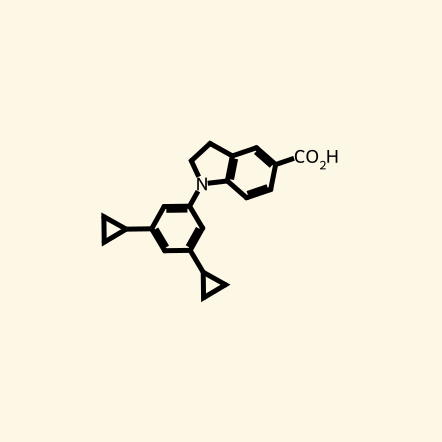 O=C(O)c1ccc2c(c1)CCN2c1cc(C2CC2)cc(C2CC2)c1